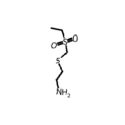 CCS(=O)(=O)CSCCN